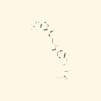 O=C(NCCNC(=O)c1ccc(Cl)c(OC(F)(F)F)c1)c1ccc(O[C@H]2CC[C@@H](C(=O)O)CC2)cc1